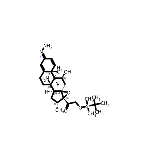 C[C@@H]1C[C@H]2[C@]3(N)CCC4=C/C(=N/N)C=C[C@]4(C)[C@@]3(F)[C@@H](O)C[C@@]23O[C@]13C(=O)CO[Si](C)(C)C(C)(C)C